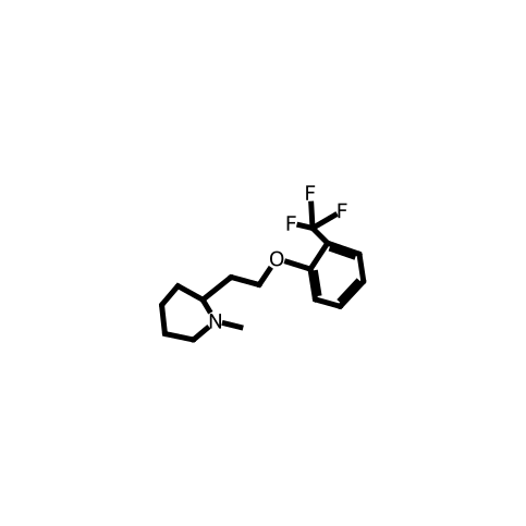 CN1CCCCC1CCOc1ccccc1C(F)(F)F